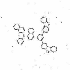 c1ccc(N(c2ccc3ccccc3c2)c2ccc(-c3cc(-c4ccc5oc6ccccc6c5c4)cc(-c4ccc5oc6ccccc6c5c4)c3)c3ccccc23)cc1